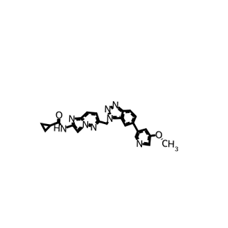 COc1cncc(-c2ccc3nnn(Cc4ccc5nc(NC(=O)C6CC6)cn5n4)c3c2)c1